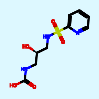 O=C(O)NC[C@H](O)CNS(=O)(=O)c1ccccn1